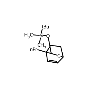 CCCC12C=CC(CC1)CC2O[Si](C)(C)C(C)(C)C